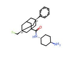 N[C@H]1CC[C@H](NC(=O)C23CC4C[C@@](CF)(C2)C[C@](c2ccccc2)(C4)C3)CC1